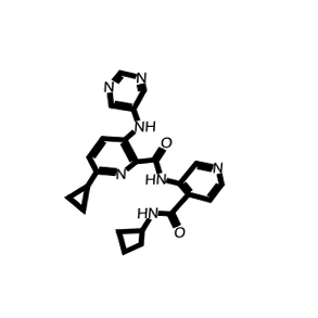 O=C(NC1CCC1)c1ccncc1NC(=O)c1nc(C2CC2)ccc1Nc1cncnc1